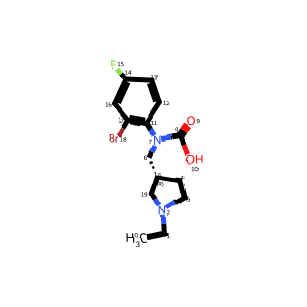 CCN1CC[C@@H](CN(C(=O)O)c2ccc(F)cc2Br)C1